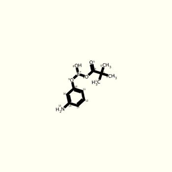 CC(C)(C)C(=O)OB(O)Oc1cccc(N)c1